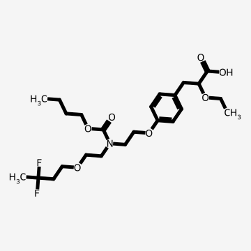 CCCCOC(=O)N(CCOCCC(C)(F)F)CCOc1ccc(CC(OCC)C(=O)O)cc1